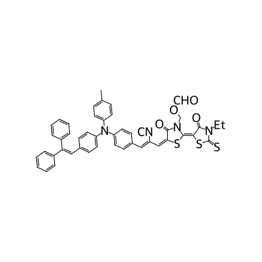 CCN1C(=O)/C(=c2/s/c(=C/C(C#N)=C/c3ccc(N(c4ccc(C)cc4)c4ccc(C=C(c5ccccc5)c5ccccc5)cc4)cc3)c(=O)n2COC=O)SC1=S